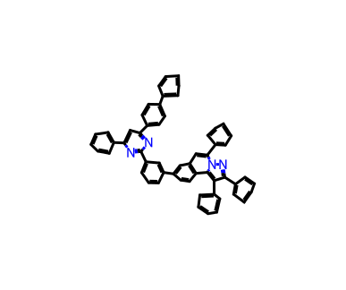 c1ccc(-c2ccc(-c3cc(-c4ccccc4)nc(-c4cccc(-c5ccc6c(c5)cc(-c5ccccc5)n5nc(-c7ccccc7)c(-c7ccccc7)c65)c4)n3)cc2)cc1